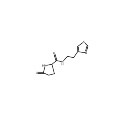 O=C1CCC(C(=O)NCCc2cscn2)N1